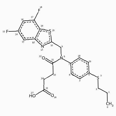 CCCSc1ccc(N(Cc2nc3cc(F)cc(F)c3s2)C(=O)CCC(=O)O)cc1